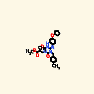 COC(=O)[C@@H](C)Cn1c(=O)[nH]/c(=N\c2ccc(OC3CCCC3)cc2)n(Cc2ccc(C)cc2)c1=O